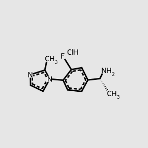 Cc1nccn1-c1ccc([C@@H](C)N)cc1F.Cl